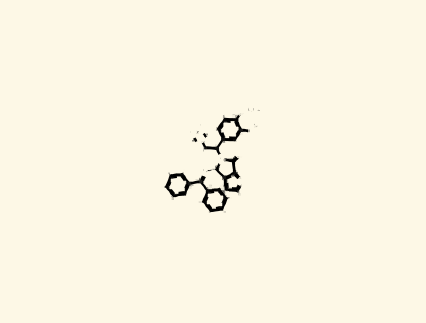 CCOc1cc(C(CS(C)(=O)=O)N2C(=O)c3sccc3[C@H]2N=C(c2ccccc2)c2ccccc2)ccc1OC